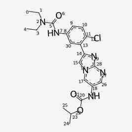 CCN(CC)C(=O)Nc1ccc(Cl)c(-c2cn3cc(NC(=O)OC(C)C)cnc3n2)c1